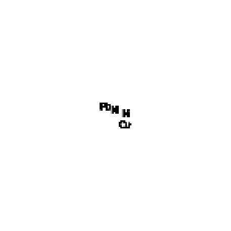 [Cu].[Ni].[Ni].[Pb]